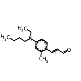 CCCCN(CC)c1ccc(/C=C/C=O)c(C)c1